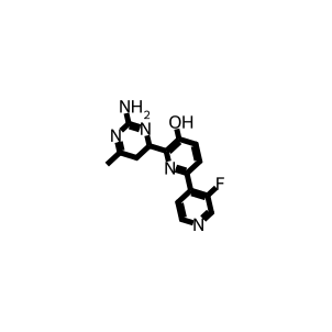 CC1=NC(N)=NC(c2nc(-c3ccncc3F)ccc2O)C1